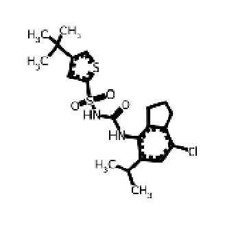 CC(C)c1cc(Cl)c2c(c1NC(=O)NS(=O)(=O)c1cc(C(C)(C)C)cs1)CCC2